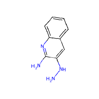 NNc1cc2ccccc2nc1N